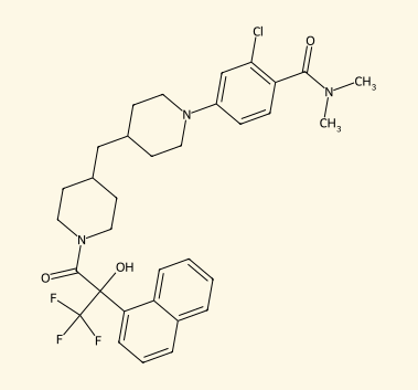 CN(C)C(=O)c1ccc(N2CCC(CC3CCN(C(=O)C(O)(c4cccc5ccccc45)C(F)(F)F)CC3)CC2)cc1Cl